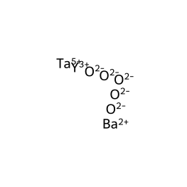 [Ba+2].[O-2].[O-2].[O-2].[O-2].[O-2].[Ta+5].[Y+3]